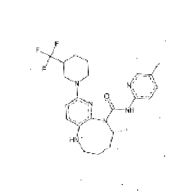 Cc1ccc(NC(=O)N2c3nc(N4CCCC(C(F)(F)F)C4)ccc3NCCC[C@H]2C)nc1